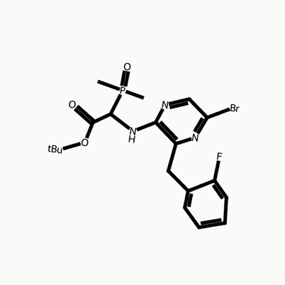 CC(C)(C)OC(=O)C(Nc1ncc(Br)nc1Cc1ccccc1F)P(C)(C)=O